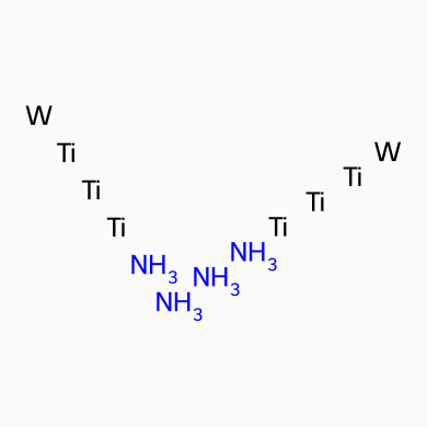 N.N.N.N.[Ti].[Ti].[Ti].[Ti].[Ti].[Ti].[W].[W]